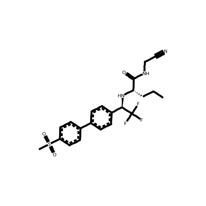 CCC[C@H](N[C@H](c1ccc(-c2ccc(S(C)(=O)=O)cc2)cc1)C(F)(F)F)C(=O)NCC#N